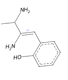 CC(N)/C(N)=C/c1ccccc1O